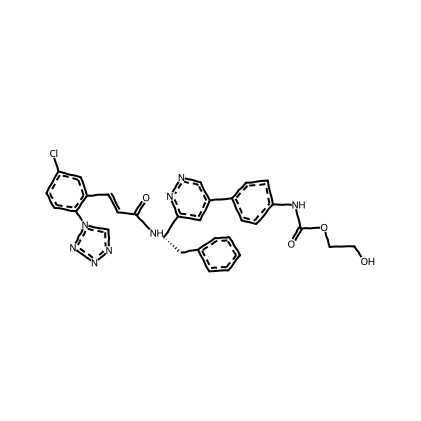 O=C(/C=C/c1cc(Cl)ccc1-n1cnnn1)N[C@@H](Cc1ccccc1)c1cc(-c2ccc(NC(=O)OCCO)cc2)cnn1